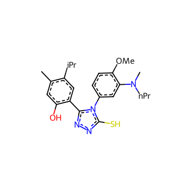 CCCN(C)c1cc(-n2c(S)nnc2-c2cc(C(C)C)c(C)cc2O)ccc1OC